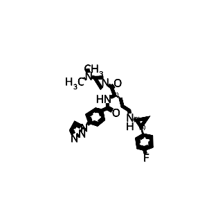 CN(C)C1CN(C(=O)[C@H](CCCN[C@@H]2C[C@H]2c2ccc(F)cc2)NC(=O)c2ccc(-n3ccnn3)cc2)C1